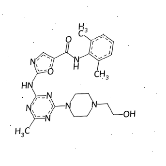 Cc1nc(Nc2ncc(C(=O)Nc3c(C)cccc3C)o2)nc(N2CCN(CCO)CC2)n1